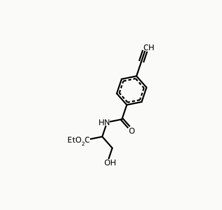 C#Cc1ccc(C(=O)NC(CO)C(=O)OCC)cc1